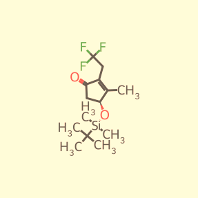 CC1=C(CC(F)(F)F)C(=O)C[C@@H]1O[Si](C)(C)C(C)(C)C